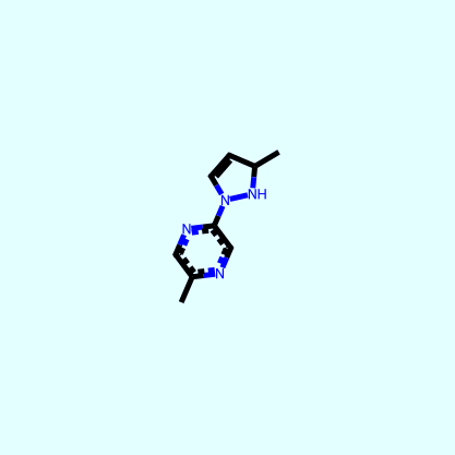 Cc1cnc(N2C=CC(C)N2)cn1